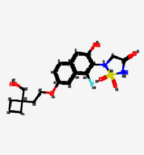 O=C1CN(c2c(O)cc3ccc(OCCC4(CO)CCC4)cc3c2F)S(=O)(=O)N1